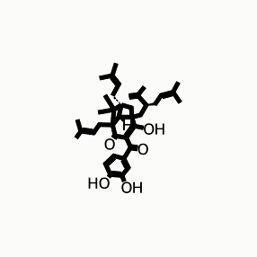 C=C(C)[C@@H](CC=C(C)C)CC12C[C@@]3(CC=C(C)C)[C@@H]1C(CC=C(C)C)(C(=O)C(C(=O)c1ccc(O)c(O)c1)=C2O)C3(C)C